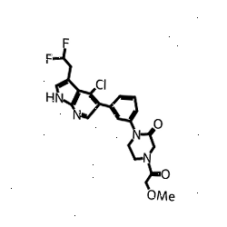 COCC(=O)N1CCN(c2cccc(-c3cnc4[nH]cc(CC(F)F)c4c3Cl)c2)C(=O)C1